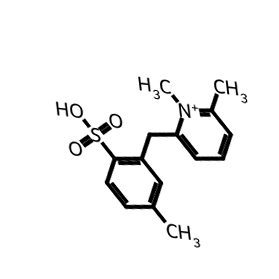 Cc1ccc(S(=O)(=O)O)c(Cc2cccc(C)[n+]2C)c1